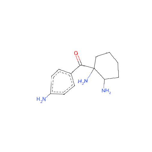 Nc1ccc(C(=O)C2(N)CCCCC2N)cc1